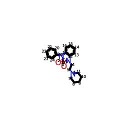 O=S1(=O)N(CCN2CCCCC2)c2ccccc2N1c1ccccc1